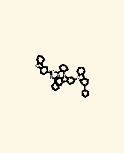 c1ccc(C2=NC(c3ccccc3-n3c4ccccc4c4ccc(-n5c6ccccc6c6ccc(-c7ccccc7)cc65)cc43)NC(c3ccc4sc5ccccc5c4c3)=N2)cc1